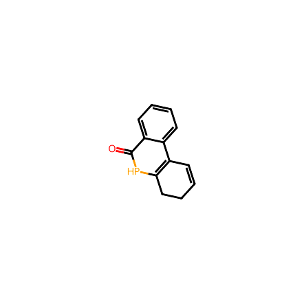 O=c1[pH]c2c(c3ccccc13)C=CCC2